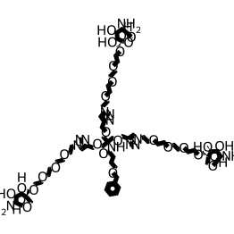 N[C@H]1[C@H]2OC[C@](COCCOCCOCCOCCn3cc(COCC(COCc4cn(CCOCCOCCOCCOC[C@@]56CO[C@@H](O5)[C@H](N)[C@@H](O)[C@H]6O)nn4)(COCc4cn(CCOCCOCCOCCOC[C@@]56OO[C@@H](O5)[C@H](N)[C@@H](O)[C@H]6O)nn4)NC(=O)CCCOCc4ccccc4)nn3)(O2)[C@H](O)[C@@H]1O